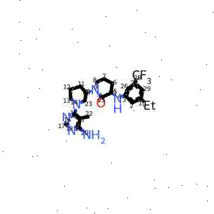 CCc1cc(N[C@@H]2CCCN([C@@H]3CCCN(c4ncnc(N)c4C)C3)C2=O)cc(C(F)(F)F)c1